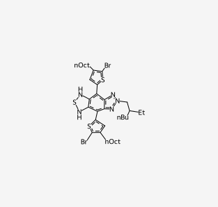 CCCCCCCCc1cc(-c2c3c(c(-c4cc(CCCCCCCC)c(Br)s4)c4nn(CC(CC)CCCC)nc24)NSN3)sc1Br